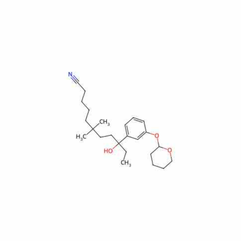 CCC(O)(CCC(C)(C)CCCCC#N)c1cccc(OC2CCCCO2)c1